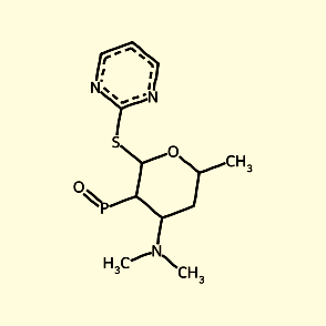 CC1CC(N(C)C)C(P=O)C(Sc2ncccn2)O1